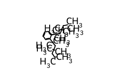 C[C](C)CC(C)(C)CC(C)(C)c1ccccc1C(C)(C)CC(C)(C)C[C](C)C